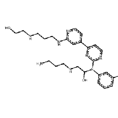 NCCCNCC(O)N(c1cccc(Cl)c1)c1nccc(-c2ccnc(NCCCNCCO)c2)n1